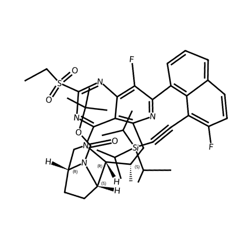 CCS(=O)(=O)c1nc2c3c(nc(-c4cccc5ccc(F)c(C#C[Si](C(C)C)(C(C)C)C(C)C)c45)c(F)c3n1)C[C@H](C)[C@@H]1[C@@H]3CC[C@H](CN21)N3C(=O)OC(C)(C)C